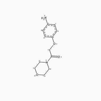 Nc1ccc(OCC(=O)N2CCOCC2)cc1